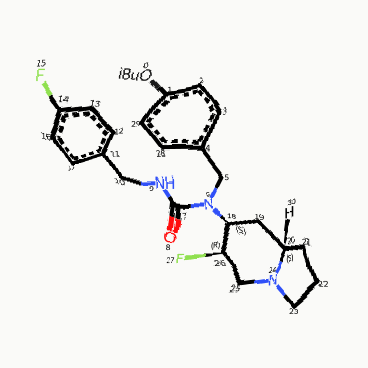 CC(C)COc1ccc(CN(C(=O)NCc2ccc(F)cc2)[C@H]2C[C@@H]3CCCN3C[C@H]2F)cc1